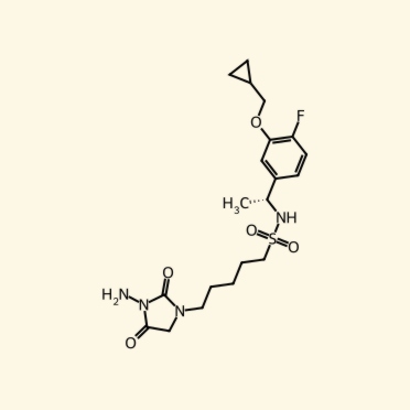 C[C@@H](NS(=O)(=O)CCCCCN1CC(=O)N(N)C1=O)c1ccc(F)c(OCC2CC2)c1